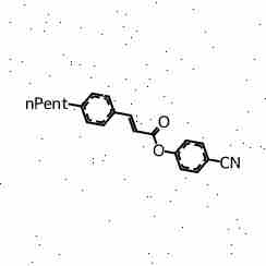 CCCCCc1ccc(/C=C/C(=O)Oc2ccc(C#N)cc2)cc1